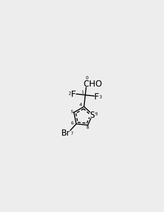 O=CC(F)(F)c1cc(Br)cs1